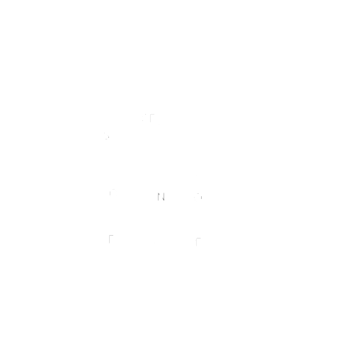 Fc1cc(F)c(Oc2csc(C(F)(F)F)c2)nc1OCc1ccccc1